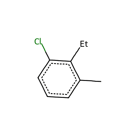 [CH2]Cc1c(C)cccc1Cl